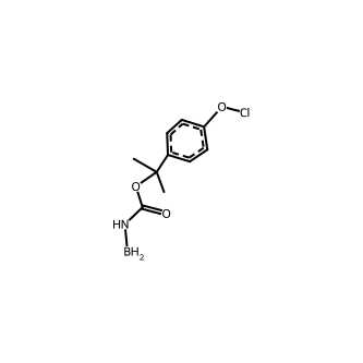 BNC(=O)OC(C)(C)c1ccc(OCl)cc1